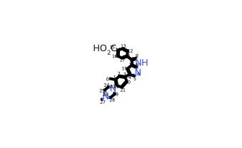 Cc1cc(-c2cnc3[nH]cc(-c4ccc(C(=O)O)cc4)c3c2)ccc1N1CCN(C)CC1